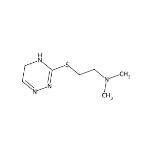 CN(C)CCSC1=NN=CCN1